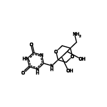 NCC12COC(Nc3nc(=O)[nH]c(=O)[nH]3)(CO1)C(O)C2O